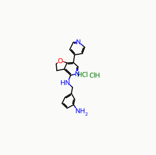 Cl.Cl.Nc1cccc(CNc2ncc(-c3ccncc3)c3c2CCO3)c1